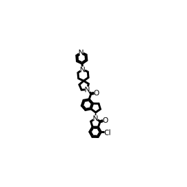 O=C(c1cccc2c1CC[C@H]2N1Cc2cccc(Cl)c2C1=O)N1CCC2(CCN(c3ccncc3)CC2)C1